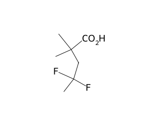 CC(F)(F)CC(C)(C)C(=O)O